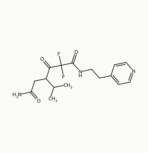 CC(C)C(CC(N)=O)C(=O)C(F)(F)C(=O)NCCc1ccncc1